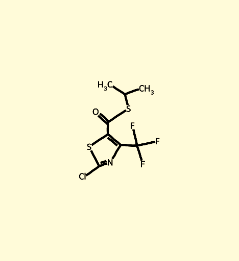 CC(C)SC(=O)c1sc(Cl)nc1C(F)(F)F